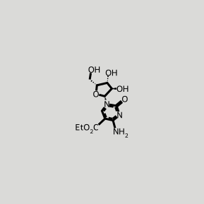 CCOC(=O)c1cn([C@@H]2O[C@H](CO)[C@H](O)[C@H]2O)c(=O)nc1N